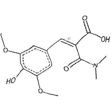 COc1cc(/C=C(/C(=O)O)C(=O)N(C)C)cc(OC)c1O